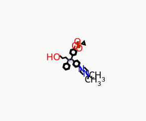 CC(C)N1CCN(c2ccc(/C(=C(/CCCO)c3ccccc3)c3ccc(OS(=O)(=O)C4CC4)cc3)cc2)CC1